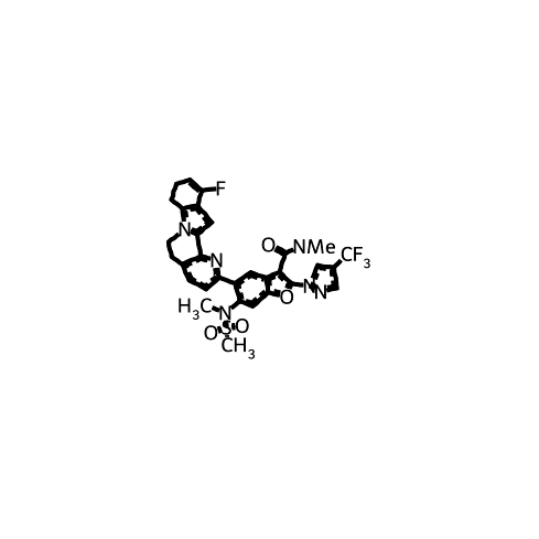 CNC(=O)c1c(-n2cc(C(F)(F)F)cn2)oc2cc(N(C)S(C)(=O)=O)c(-c3ccc4c(n3)-c3cc5c(n3CC4)CCC=C5F)cc12